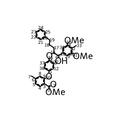 COC(=O)c1ccc(C)cc1Oc1ccc(OC(CCCc2ccccc2)C(O)c2cc(OC)c(C)c(OC)c2)cc1